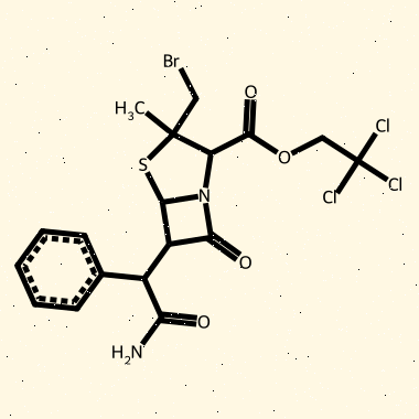 CC1(CBr)SC2C(C(C(N)=O)c3ccccc3)C(=O)N2C1C(=O)OCC(Cl)(Cl)Cl